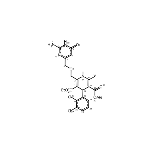 CCOC(=O)C1=C(COCc2cc(=O)[nH]c(N)n2)NC(C)=C(C(=O)OC)C1c1cccc(Cl)c1Cl